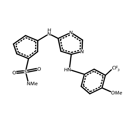 CNS(=O)(=O)c1cccc(Nc2cc(Nc3ccc(OC)c(C(F)(F)F)c3)ncn2)c1